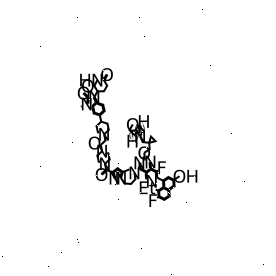 CCc1c(F)ccc2cc(O)cc(-c3ncc4c(N5CCCn6nc(C(=O)N7CCN(C(=O)CN8CCC(c9ccc%10c(c9)n(C)c(=O)n%10C9CCC(=O)NC9=O)CC8)CC7)cc6C5)nc(OCC5(CN6C[C@H]7C[C@@H]6CO7)CC5)nc4c3F)c12